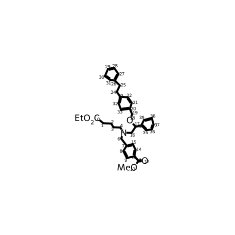 CCOC(=O)CCCCN(Cc1ccc(C(=O)OC)cc1)CC(OCc1ccc(CCc2ccccc2)cc1)c1ccccc1